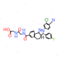 N#Cc1ccc(N2N=C3c4ccc(C(=O)NCC(=O)NCC(=O)O)cc4CC[C@H]3[C@@H]2c2ccc(F)cc2)cc1Cl